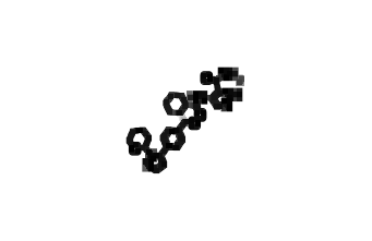 NC(=O)c1[nH]ncc1NC(=O)[C@@H]1CCCC[C@H]1C(=O)c1ccc(-c2ccnn2C2CCCCO2)cc1